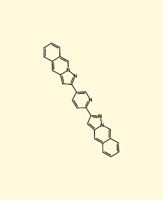 c1ccc2cn3nc(-c4ccc(-c5cc6cc7ccccc7cn6n5)nc4)cc3cc2c1